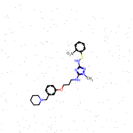 Cn1nc(NSc2ccccc2[N+](=O)[O-])nc1NCCCOc1cccc(CN2CCCCC2)c1